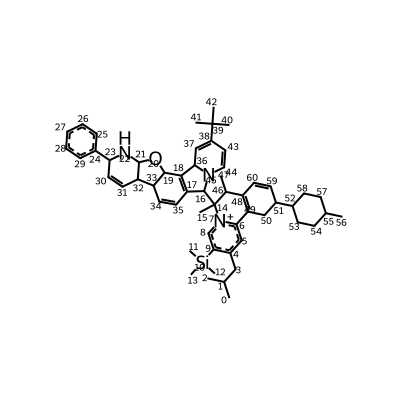 CC(C)Cc1cc2[n+](cc1[Si](C)(C)C)C(C)(C1C3=C(C4OC5NC(c6ccccc6)C=CC5C4C=C3)C3C=C(C(C)(C)C)C=CN31)C(C)C1=C2CC(C2CCC(C)CC2)C=C1